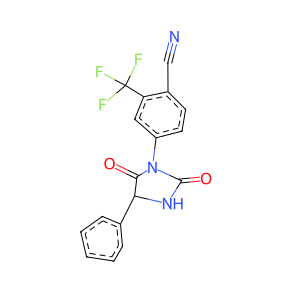 N#Cc1ccc(N2C(=O)NC(c3ccccc3)C2=O)cc1C(F)(F)F